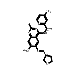 COc1cc2nc(C)nc(N[C@H](C)c3cc(C(F)(F)F)ccn3)c2cc1OC[C@H]1CCOC1